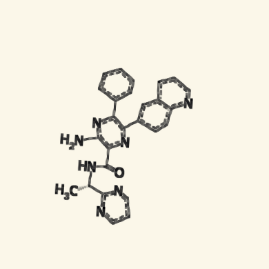 C[C@H](NC(=O)c1nc(-c2ccc3ncccc3c2)c(-c2ccccc2)nc1N)c1ncccn1